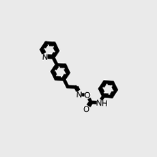 O=C(Nc1ccccc1)ON=CCc1ccc(-c2ccccn2)cc1